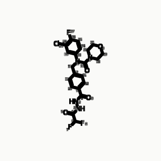 O=C(NNC(=O)C(F)F)c1ccc(CN(C(=O)N2CCOCC2)c2ccc(F)c(Cl)c2)cc1